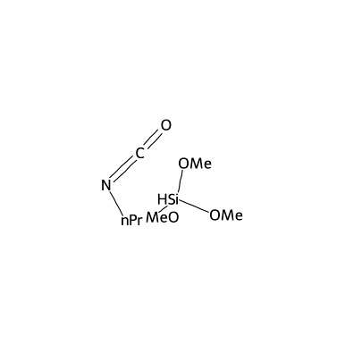 CCCN=C=O.CO[SiH](OC)OC